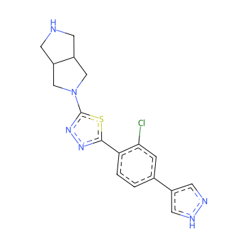 Clc1cc(-c2cn[nH]c2)ccc1-c1nnc(N2CC3CNCC3C2)s1